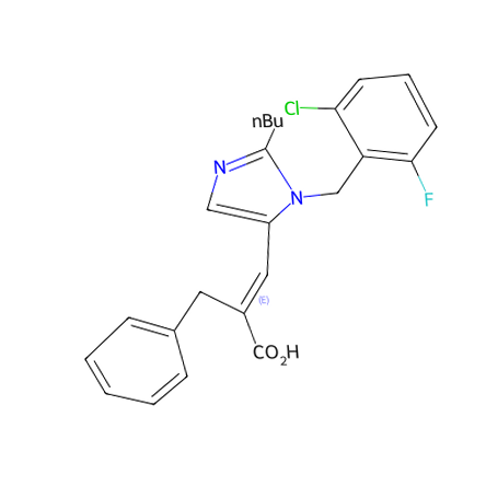 CCCCc1ncc(/C=C(\Cc2ccccc2)C(=O)O)n1Cc1c(F)cccc1Cl